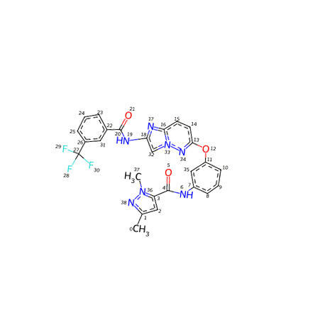 Cc1cc(C(=O)Nc2cccc(Oc3ccc4nc(NC(=O)c5cccc(C(F)(F)F)c5)cn4n3)c2)n(C)n1